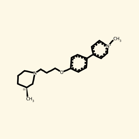 C[C@H]1CCCN(CCCOc2ccc(-c3cc[n+](C)cc3)cc2)C1